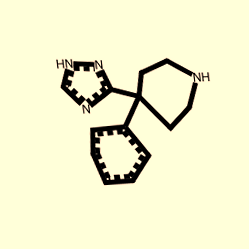 c1ccc(C2(c3nc[nH]n3)CCNCC2)cc1